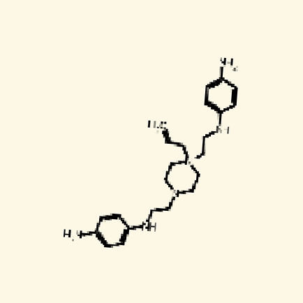 C=CC[N+]1(CCNc2ccc(N)cc2)CCN(CCNc2ccc(N)cc2)CC1